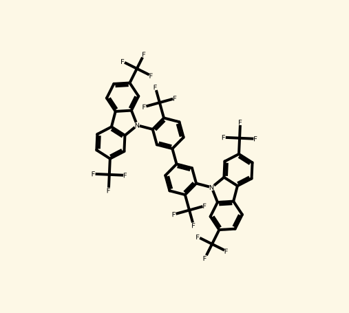 FC(F)(F)c1ccc2c3ccc(C(F)(F)F)cc3n(-c3cc(-c4ccc(C(F)(F)F)c(-n5c6cc(C(F)(F)F)ccc6c6ccc(C(F)(F)F)cc65)c4)ccc3C(F)(F)F)c2c1